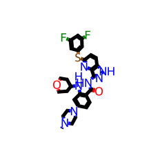 CN1CCN(c2ccc(C(=O)Nc3n[nH]c4ccc(Sc5cc(F)cc(F)c5)nc34)c(NC3CCOCC3)c2)CC1